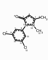 Cc1cc(=O)n(-c2cc(Cl)cc(Cl)c2)n1C